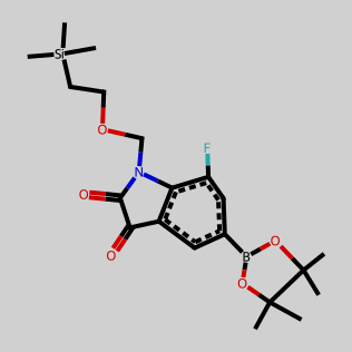 CC1(C)OB(c2cc(F)c3c(c2)C(=O)C(=O)N3COCC[Si](C)(C)C)OC1(C)C